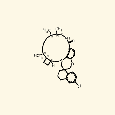 C[C@@H]1CCC[C@H](O)[C@@H]2CC[C@H]2CN2C[C@@]3(CCCc4cc(Cl)ccc43)COc3ccc(cc32)C(=O)NS[C@@H]1C